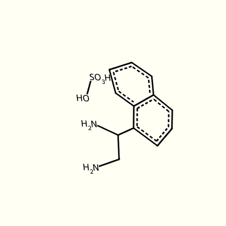 NCC(N)c1cccc2ccccc12.O=S(=O)(O)O